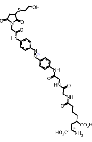 N[C@@H](CC(CCCC(=O)NCC(=O)NCC(=O)Nc1ccc(/N=N/c2ccc(NC(=O)CN3C(=O)CC(SCCO)C3=O)cc2)cc1)C(=O)O)C(=O)O